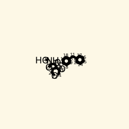 O=C(CC1(S(=O)(=O)c2ccc(Cc3ccccc3)cc2)CCOCC1)NO